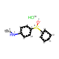 CC(C)(C)Nc1ccc([S+]([O-])c2ccccc2)cc1.Cl